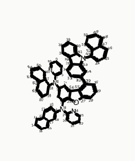 c1ccc(N(c2cc(N(c3ccc4ccccc4c3)c3ccccn3)c3oc4cccc(-c5ccc6c7ccccc7n(-c7cccc8ccccc78)c6c5)c4c3c2)c2cccc3ccccc23)nc1